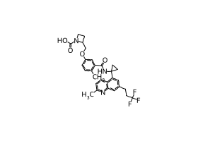 Cc1ccc2c(C3(NC(=O)c4cc(OCC5CCN5C(=O)O)ccc4C)CC3)cc(CCC(F)(F)F)cc2n1